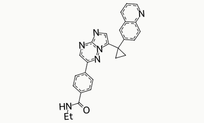 CCNC(=O)c1ccc(-c2cnc3ncc(C4(c5ccc6ncccc6c5)CC4)n3n2)cc1